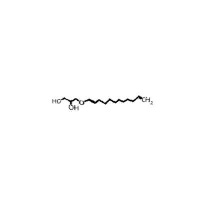 C=CCCCCCCCC/C=C/OCC(O)CO